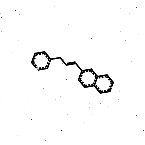 C(=C\c1ccc2ccccc2c1)/Cc1cccnc1